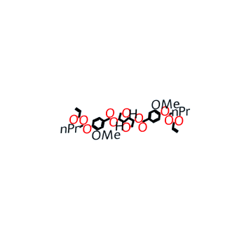 C=CC(=O)OC(CCC)Oc1ccc(C(=O)O[C@H]2CO[C@H]3[C@@H]2OC[C@H]3OC(=O)c2ccc(OC(CCC)OC(=O)C=C)c(OC)c2)cc1OC